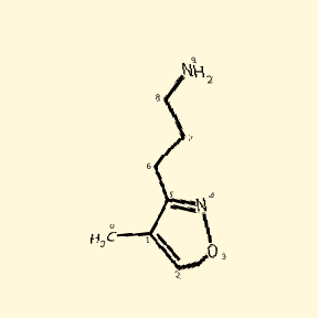 Cc1conc1CCCN